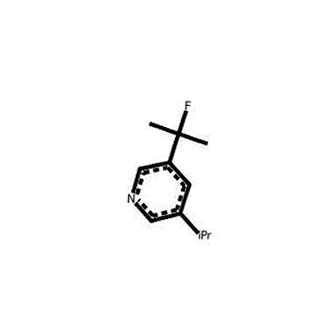 CC(C)c1cncc(C(C)(C)F)c1